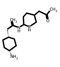 C=C(C[C@H]1CC[C@@H](N)CC1)NC1BCC(CC(C)=O)CC1